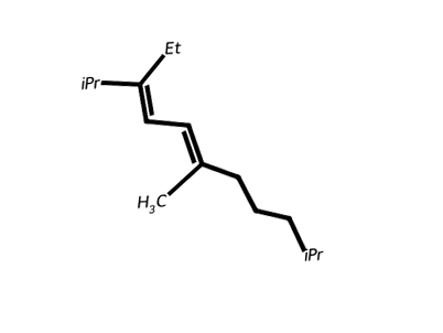 CC/C(=C\C=C(/C)CCCC(C)C)C(C)C